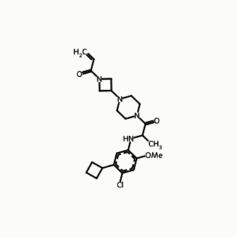 C=CC(=O)N1CC(N2CCN(C(=O)C(C)Nc3cc(C4CCC4)c(Cl)cc3OC)CC2)C1